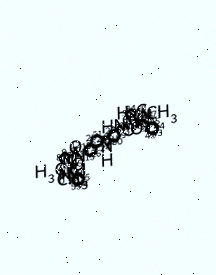 CN(C)[C@@H](C(=O)N1CCC[C@H]1C(=O)Nc1ccc2c(c1)CCc1c-2[nH]c2c1=CC(NC(=O)[C@@H]1CCCN1C(=O)[C@@H](c1ccccc1)N(C)C)CC=2)c1ccccc1